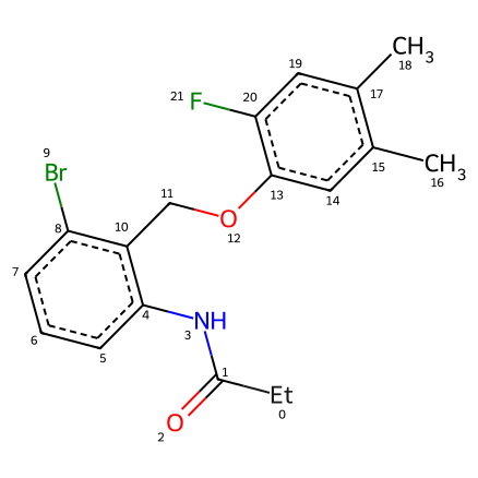 CCC(=O)Nc1cccc(Br)c1COc1cc(C)c(C)cc1F